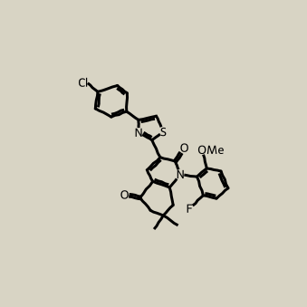 COc1cccc(F)c1-n1c2c(cc(-c3nc(-c4ccc(Cl)cc4)cs3)c1=O)C(=O)CC(C)(C)C2